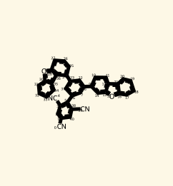 N#Cc1cc(C#N)c(-c2cc(-c3ccc4c(c3)oc3ccccc34)cc(-c3cccc4oc5ccccc5c34)c2)c(C#N)c1